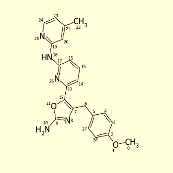 COc1ccc(Cc2nc(N)oc2-c2cccc(Nc3cc(C)ccn3)n2)cc1